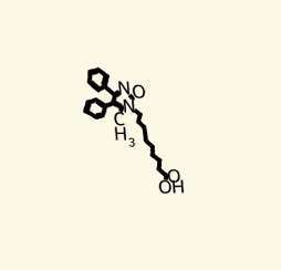 Cc1c(-c2ccccc2)c(-c2ccccc2)nc(=O)n1CCCCCCCCC(=O)O